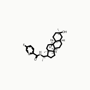 C[C@H](NC(=O)c1ccc(F)cn1)C1CC[C@H]2[C@@H]3CC[C@@H]4C[C@](C)(O)CC[C@@H]4[C@H]3CC[C@]12C